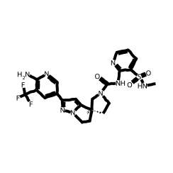 CNS(=O)(=O)c1cccnc1NC(=O)N1CC[C@@]2(CCn3nc(-c4cnc(N)c(C(F)(F)F)c4)cc32)C1